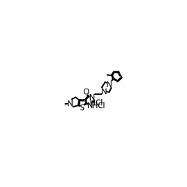 Cc1ccccc1N1CCN(CCn2cnc3sc4c(c3c2=O)CCN(C)C4)CC1.Cl.Cl